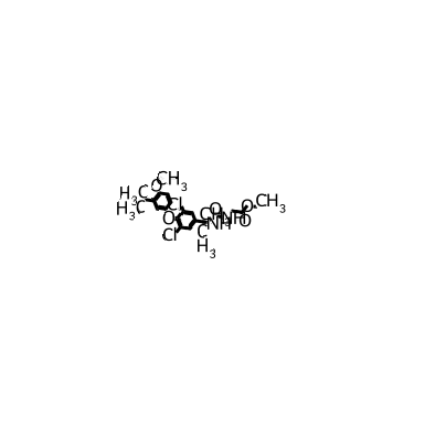 CCOC(=O)CNC(=O)NC(C)(C)c1cc(Cl)c(Oc2ccc(OC)c(C(C)C)c2)c(Cl)c1